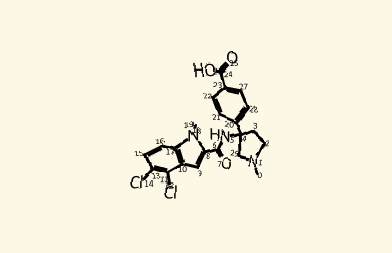 CN1CCC(NC(=O)c2cc3c(Cl)c(Cl)ccc3n2C)(c2ccc(C(=O)O)cc2)C1